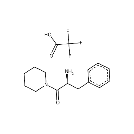 N[C@@H](Cc1ccccc1)C(=O)N1CCCCC1.O=C(O)C(F)(F)F